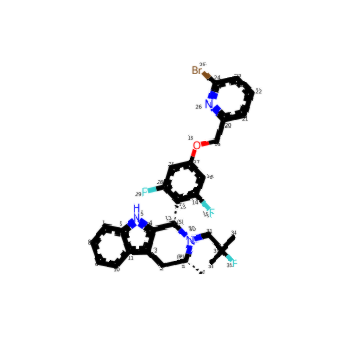 C[C@@H]1Cc2c([nH]c3ccccc23)[C@H](c2c(F)cc(OCc3cccc(Br)n3)cc2F)N1CC(C)(C)F